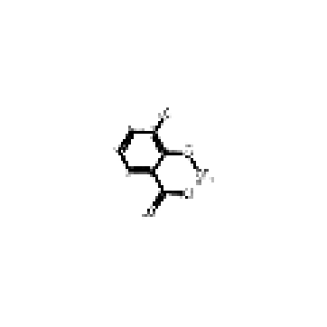 O=C(Cl)c1cccc(Cl)c1OC(F)(F)F